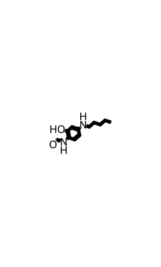 CCCCCNc1ccc(NC=O)c(O)c1